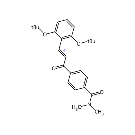 CN(C)C(=O)c1ccc(C(=O)/C=C/c2c(OC(C)(C)C)cccc2OC(C)(C)C)cc1